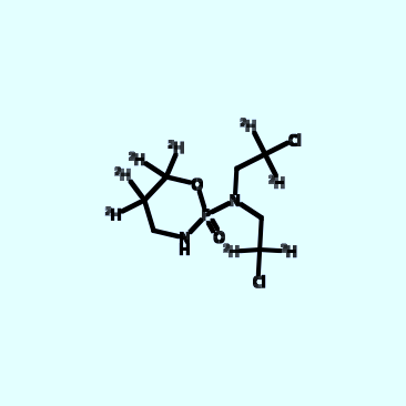 [2H]C([2H])(Cl)CN(CC([2H])([2H])Cl)P1(=O)NCC([2H])([2H])C([2H])([2H])O1